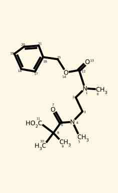 CN(CCN(C)C(=O)C(C)(C)C(=O)O)C(=O)OCc1ccccc1